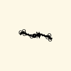 O=C(OCCCCCOc1ccc(-c2ncc(CCCCCOC(=O)C3CO3)cn2)cc1)C1CO1